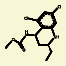 CC[C@H]1C[C@@H](NC(=O)OC)c2c(Cl)cc(Cl)cc2N1